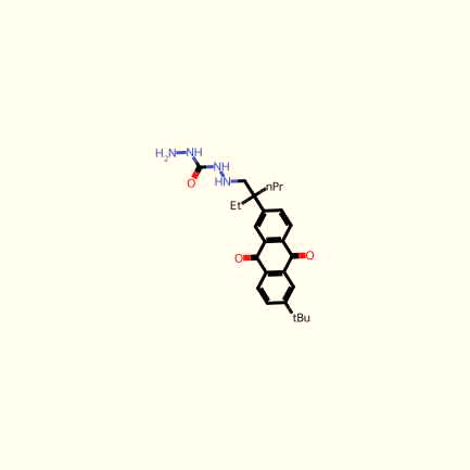 CCCC(CC)(CNNC(=O)NN)c1ccc2c(c1)C(=O)c1ccc(C(C)(C)C)cc1C2=O